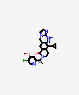 CNc1nccn1Cc1cc2c(c(C3CC3)c1)CCN([C@@H](C)c1cc(OC)c(F)cn1)C2=O